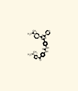 CC(C)N1CCCN(c2nc(-c3ccc(NC(=O)Nc4ccc(C(=O)N5CC[C@@H](N(C)C)C5)cc4)cc3)nc(N3CCOCC3)n2)CC1